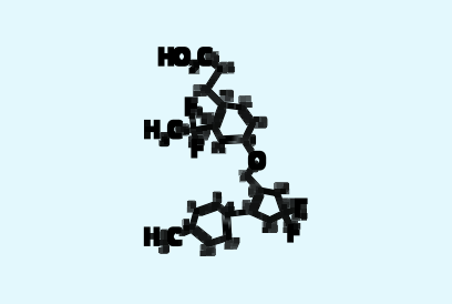 Cc1ccc(C2=C(COc3ccc(CCC(=O)O)c(C(C)(F)F)c3)CC(F)(F)C2)cc1